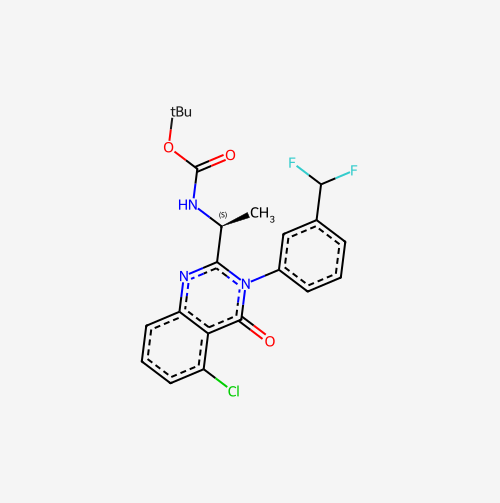 C[C@H](NC(=O)OC(C)(C)C)c1nc2cccc(Cl)c2c(=O)n1-c1cccc(C(F)F)c1